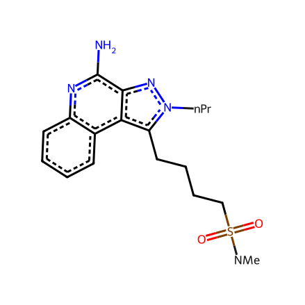 CCCn1nc2c(N)nc3ccccc3c2c1CCCCS(=O)(=O)NC